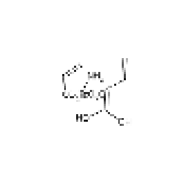 C=CC(=O)O.C=CC=C(O)O.CCOC(N)=O